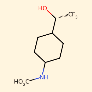 O=C(O)NC1CCC([C@H](O)C(F)(F)F)CC1